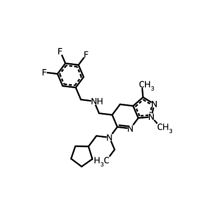 CCN(CC1CCCC1)C1=Nc2c(c(C)nn2C)CC1CNCc1cc(F)c(F)c(F)c1